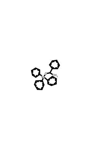 CC([O][Sn]([c]1ccccc1)([c]1ccccc1)[c]1ccccc1)c1ccccc1